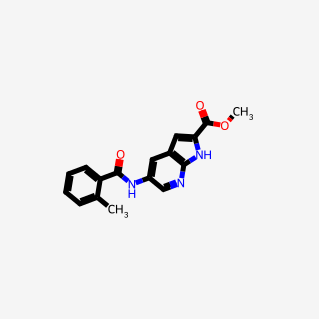 COC(=O)c1cc2cc(NC(=O)c3ccccc3C)cnc2[nH]1